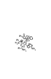 CC(C)OC(=O)[C@H](C)N[P@](=O)(OC[C@@]1(C#N)O[C@@H](c2ccc3c(N)ncnn23)[C@H](OC(=O)[C@@H](N)C(C)C)[C@@H]1OC(=O)[C@@H](N)C(C)C)Oc1ccccc1